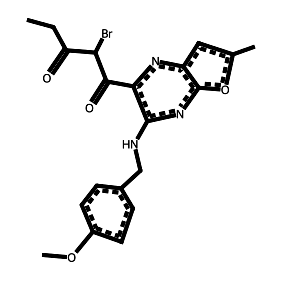 CCC(=O)C(Br)C(=O)c1nc2cc(C)oc2nc1NCc1ccc(OC)cc1